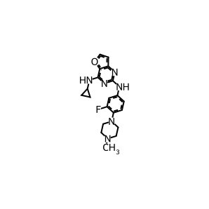 CN1CCN(c2ccc(Nc3nc(NC4CC4)c4occc4n3)cc2F)CC1